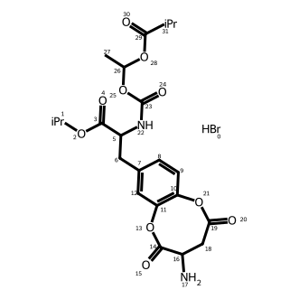 Br.CC(C)OC(=O)C(Cc1ccc2c(c1)OC(=O)C(N)CC(=O)O2)NC(=O)OC(C)OC(=O)C(C)C